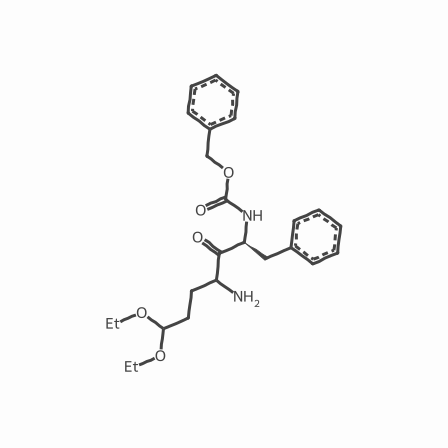 CCOC(CCC(N)C(=O)[C@H](Cc1ccccc1)NC(=O)OCc1ccccc1)OCC